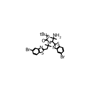 CC(C)(C)OC(=O)N(C(c1nc2cc(Br)ccc2s1)C(C)(C)N)C(C)(C)Cc1nc2cc(Br)ccc2s1